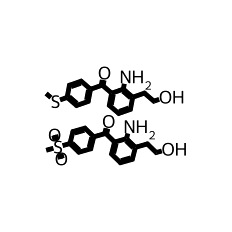 CS(=O)(=O)c1ccc(C(=O)c2cccc(CCO)c2N)cc1.CSc1ccc(C(=O)c2cccc(CCO)c2N)cc1